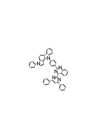 c1ccc(-c2cc(-c3ccccc3)nc(-c3nc(-c4ccc(-n5c6ccccc6c6ccc7c(ccn7-c7ccccc7)c65)cc4)nc4ccccc34)n2)cc1